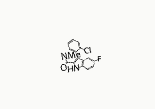 CNC(=O)c1[nH]c2ccc(F)cc2c1-c1ccccc1Cl